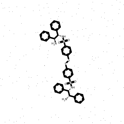 N[C@@H](c1ccccc1)[C@@H](NS(=O)(=O)c1ccc(SSc2ccc(S(=O)(=O)N[C@@H](c3ccccc3)[C@@H](N)c3ccccc3)cc2)cc1)c1ccccc1